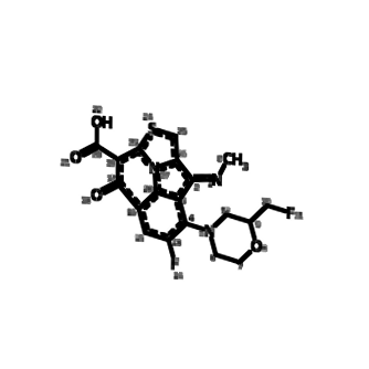 CN=c1c2c(N3CCOC(CF)C3)c(F)cc3c(=O)c(C(=O)O)c4scc1n4c32